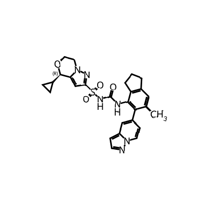 Cc1cc2c(c(NC(=O)NS(=O)(=O)c3cc4n(n3)CCO[C@@H]4C3CC3)c1-c1ccn3nccc3c1)CCC2